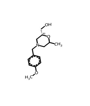 COc1ccc(CN2CC(C)O[C@@H](CO)C2)cc1